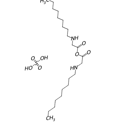 CCCCCCCCCNCC(=O)OC(=O)CNCCCCCCCCC.O=S(=O)(O)O